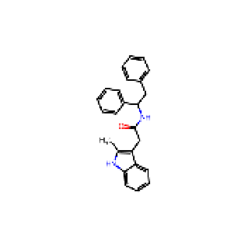 Cc1[nH]c2ccccc2c1CC(=O)NC(Cc1ccccc1)c1ccccc1